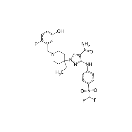 CCC1(n2cc(C(N)=O)c(Nc3ccc(S(=O)(=O)C(F)F)cc3)n2)CCN(Cc2cc(O)ccc2F)CC1